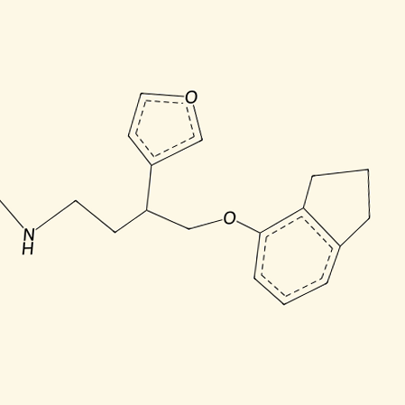 CNCCC(COc1cccc2c1CCC2)c1ccoc1